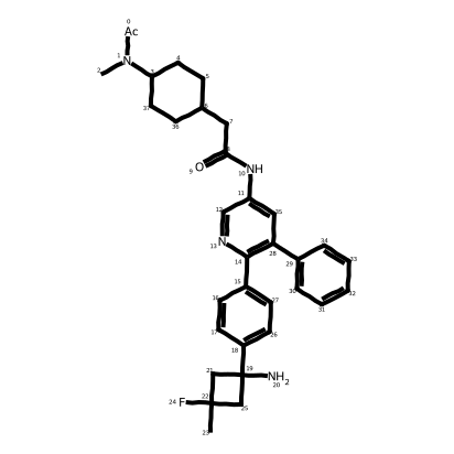 CC(=O)N(C)C1CCC(CC(=O)Nc2cnc(-c3ccc(C4(N)CC(C)(F)C4)cc3)c(-c3ccccc3)c2)CC1